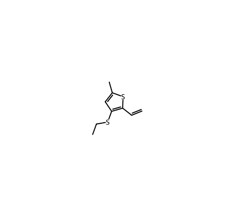 C=Cc1sc(C)cc1SCC